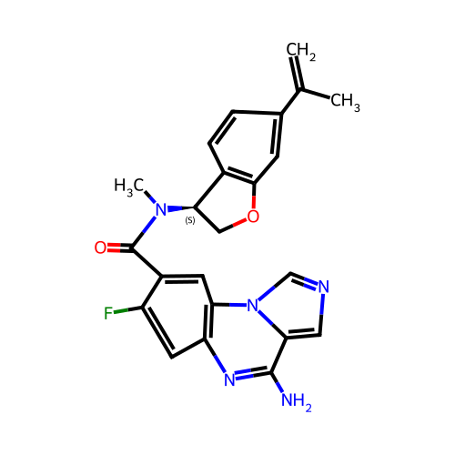 C=C(C)c1ccc2c(c1)OC[C@H]2N(C)C(=O)c1cc2c(cc1F)nc(N)c1cncn12